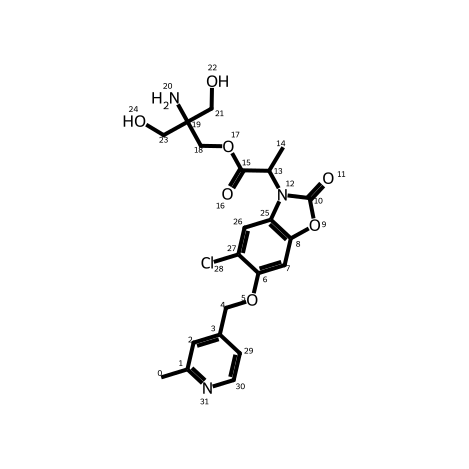 Cc1cc(COc2cc3oc(=O)n(C(C)C(=O)OCC(N)(CO)CO)c3cc2Cl)ccn1